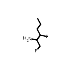 CCCC(F)C(N)CF